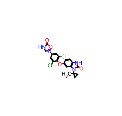 CC1(n2c(=O)[nH]c3ccc(Oc4c(Cl)cc(N5CNC(=O)O5)cc4Cl)cc32)CC1